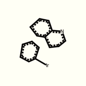 [Ir][c]1ccccc1.c1ccc2ncccc2c1